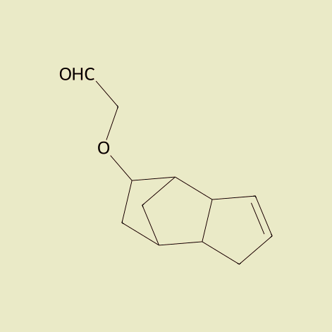 O=CCOC1CC2CC1C1C=CCC21